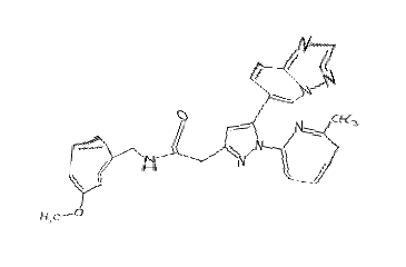 COc1cccc(CNC(=O)Cc2cc(-c3ccc4ncnn4c3)n(-c3cccc(C)n3)n2)c1